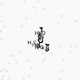 Cn1ncc(OC[C@H]2CCN2C2CC2)c1-c1ccn2nc(NC(=O)C3CC3)cc2c1